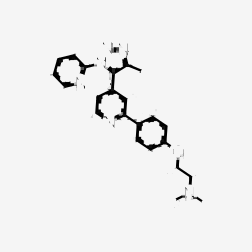 Cc1nnn(-c2ccccn2)c1-c1ccnc(-c2ccc(OCCN(C)C)cc2)c1